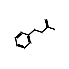 C=C(C)[CH]Cc1ccccc1